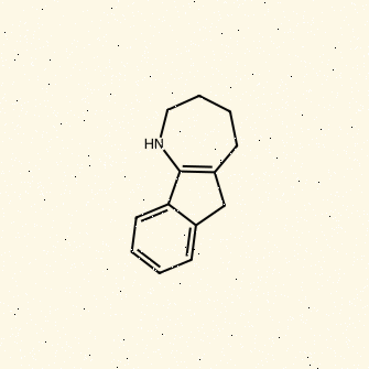 c1ccc2c(c1)CC1=C2NCCCC1